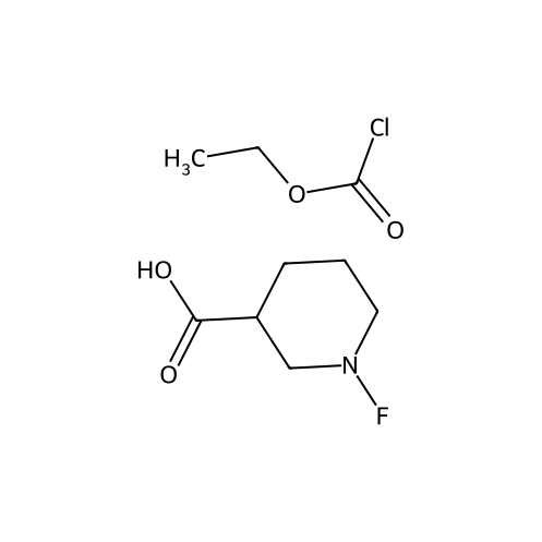 CCOC(=O)Cl.O=C(O)C1CCCN(F)C1